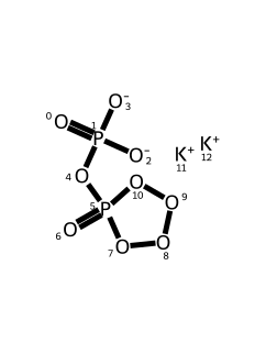 O=P([O-])([O-])OP1(=O)OOOO1.[K+].[K+]